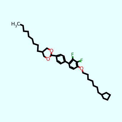 CCCCCCCCCC1COC(c2ccc(-c3ccc(OCCCCCCCC4CCCC4)c(F)c3F)cc2)OC1